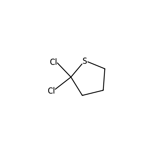 ClC1(Cl)CCCS1